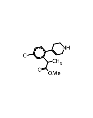 COC(=O)C(C)c1cc(Cl)ccc1C1=CCNCC1